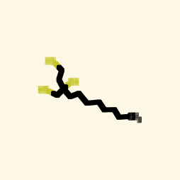 CCCCCCCCC(S)(CS)CCS